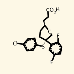 O=C(O)CC[C@H]1CC[C@@](Sc2ccc(Cl)cc2)(c2cc(F)ccc2F)CC1